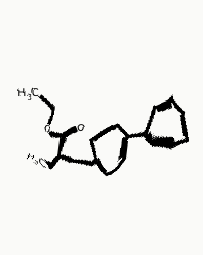 C=C(Cc1ccc(-c2ccccc2)cc1)C(=O)OCC